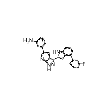 Nc1cncc(-c2cnc3[nH]nc(-c4cc5c(-c6cccc(F)c6)cccc5[nH]4)c3c2)c1